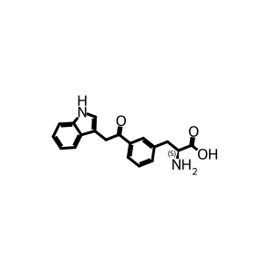 N[C@@H](Cc1cccc(C(=O)Cc2c[nH]c3ccccc23)c1)C(=O)O